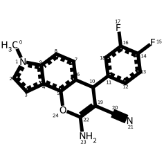 Cn1ccc2c3c(ccc21)C(c1ccc(F)c(F)c1)C(C#N)=C(N)O3